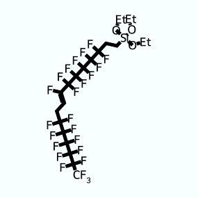 CCO[Si](CCC(F)(F)C(F)(F)C(F)(F)C(F)(F)C(F)(F)/C(F)=C/CC(F)(F)C(F)(F)C(F)(F)C(F)(F)C(F)(F)C(F)(F)F)(OCC)OCC